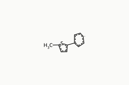 Cc1ccc(-c2cc[c]cc2)s1